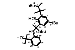 CCCCC(C)C(C)(C)c1cc(C(C)(C)C)cc(C(C)(CCCC)Pc2ccccc2C(C)(C)O)c1O